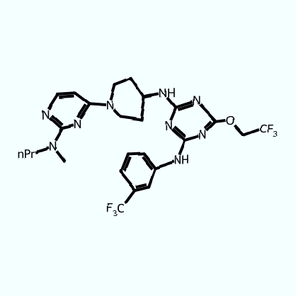 CCCN(C)c1nccc(N2CCC(Nc3nc(Nc4cccc(C(F)(F)F)c4)nc(OCC(F)(F)F)n3)CC2)n1